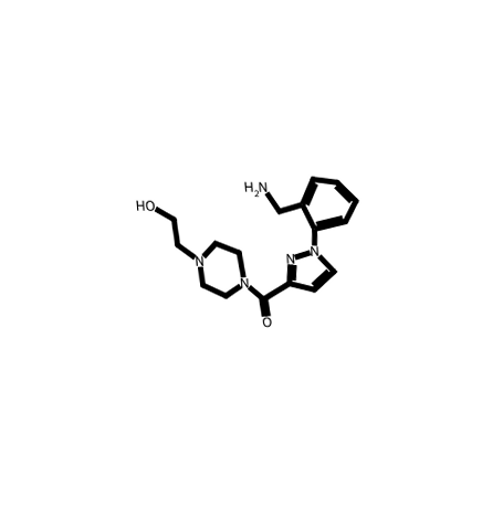 NCc1ccccc1-n1ccc(C(=O)N2CCN(CCO)CC2)n1